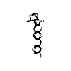 Cc1ncnc2[nH]cc(Cc3ccc([CH]c4cncc(F)c4)nc3F)c12